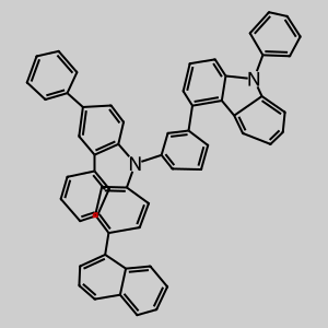 c1ccc(-c2ccc(N(c3ccc(-c4cccc5ccccc45)cc3)c3cccc(-c4cccc5c4c4ccccc4n5-c4ccccc4)c3)c(-c3ccccc3)c2)cc1